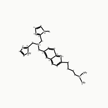 CCCN(CCC)CCCCc1ccc2cc(CN(Cc3ncc[nH]3)Cc3nccn3C)ccc2n1